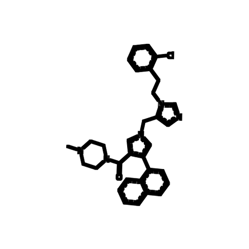 CN1CCN(C(=O)c2cn(Cc3cncn3CCc3ccccc3Cl)cc2-c2cccc3ccccc23)CC1